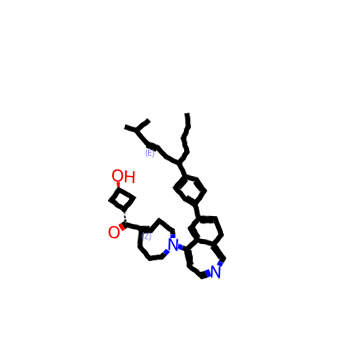 CCCCC(C/C=C/C(C)C)c1ccc(C2=CCC3=CN=CC=C(N4CC/C=C(\C(=O)[C@H]5C[C@H](O)C5)CCC4)C3=C2)cc1